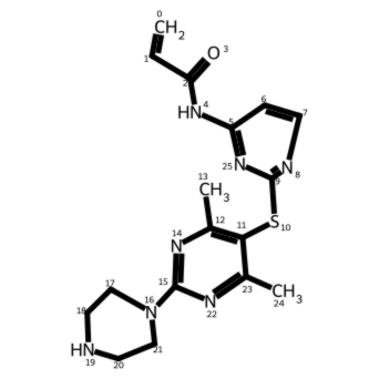 C=CC(=O)Nc1ccnc(Sc2c(C)nc(N3CCNCC3)nc2C)n1